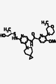 COc1ccc(C(=O)Nc2cnc(NS[C@@H](C)CO)cc2N2CCC3(CC2)CC3)nc1N1CCO[C@H](C)C1